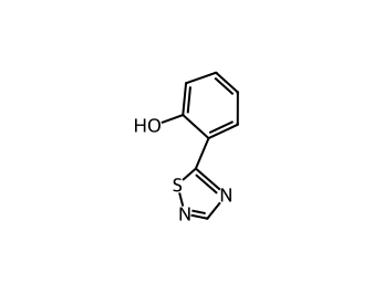 Oc1ccccc1-c1ncns1